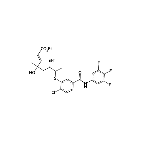 CCCC(CC(C)(O)/C=C/C(=O)OCC)C(C)Sc1cc(C(=O)Nc2cc(F)c(F)c(F)c2)ccc1Cl